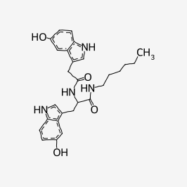 CCCCCCNC(=O)C(Cc1c[nH]c2ccc(O)cc12)NC(=O)Cc1c[nH]c2ccc(O)cc12